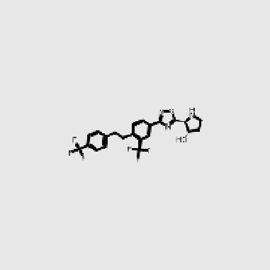 O[C@H]1CCN[C@@H]1c1nc(-c2ccc(CCc3ccc(C(F)(F)F)cc3)c(C(F)(F)F)c2)no1